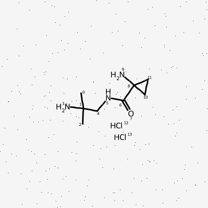 CC(C)(N)CNC(=O)C1(N)CC1.Cl.Cl